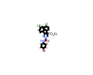 CCOC(=O)C1(c2ccc(Cl)cc2)CN(C(=O)Nc2ccc(Br)cc2)N=C1c1ccc(Cl)cc1